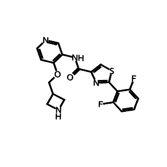 O=C(Nc1cnccc1OCC1CNC1)c1csc(-c2c(F)cccc2F)n1